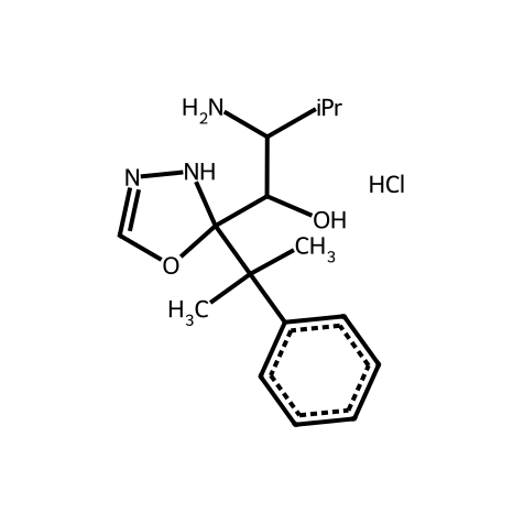 CC(C)C(N)C(O)C1(C(C)(C)c2ccccc2)NN=CO1.Cl